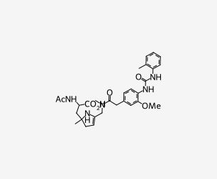 COc1cc(CC(=O)N(C)CC2=CCC(C)(CC(NC(C)=O)C(=O)O)N2)ccc1NC(=O)Nc1ccccc1C